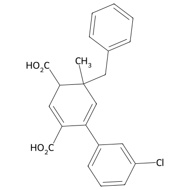 CC1(Cc2ccccc2)C=C(c2cccc(Cl)c2)C(C(=O)O)=CC1C(=O)O